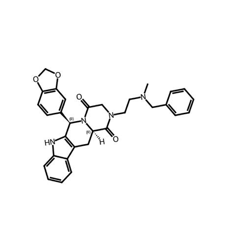 CN(CCN1CC(=O)N2[C@H](c3ccc4c(c3)OCO4)c3[nH]c4ccccc4c3C[C@@H]2C1=O)Cc1ccccc1